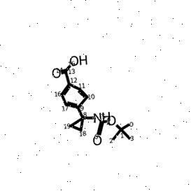 CC(C)(C)OC(=O)NC1(c2ccc(C(=O)O)cc2)CC1